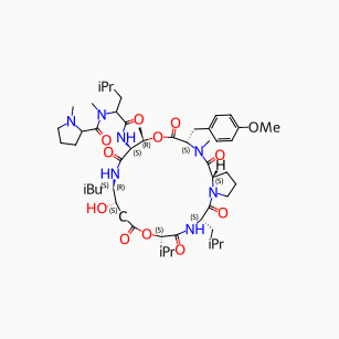 CC[C@H](C)[C@H]1NC(=O)[C@@H](NC(=O)C(CC(C)C)N(C)C(=O)C2CCCN2C)[C@@H](C)OC(=O)[C@H](Cc2ccc(OC)cc2)N(C)C(=O)[C@@H]2CCCN2C(=O)[C@H](CC(C)C)NC(=O)[C@H](C(C)C)OC(=O)C[C@@H]1O